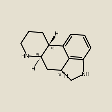 c1cc2c3c(c1)[C@H]1CCCN[C@@H]1C[C@@H]3CN2